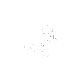 C1=Cc2cccc3cc4c(c(c23)C1)c1ccccc1n4-c1cc2cccnc2c2ncccc12